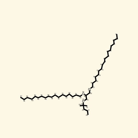 CCCCCCCCCCCCCCCCCCOCC(COC(C)(C)CCC)OCCCCCCCCCCCCCCCCCC